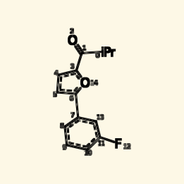 CC(C)C(=O)c1ccc(-c2cccc(F)c2)o1